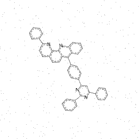 c1ccc(-c2cc(-c3ccc(-c4c5ccccc5nc5c4ccc4ccc(-c6ccccc6)nc45)cc3)nc(-c3ccccc3)n2)cc1